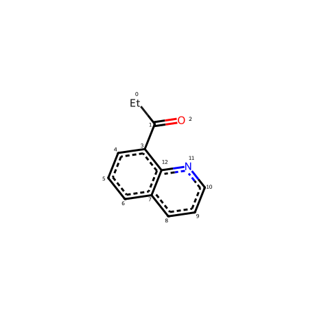 CCC(=O)c1cccc2cccnc12